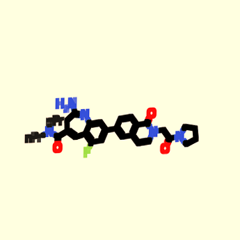 CCCN(CCC)C(=O)C1=Cc2c(F)cc(-c3ccc4c(=O)n(CC(=O)N5CCCC5)ccc4c3)cc2N=C(N)C1